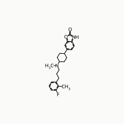 Cc1c(F)cccc1CCCN(C)C1CCC(c2ccc3[nH]c(=O)oc3c2)CC1